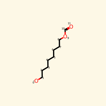 [O]CCCCCCCCOC=O